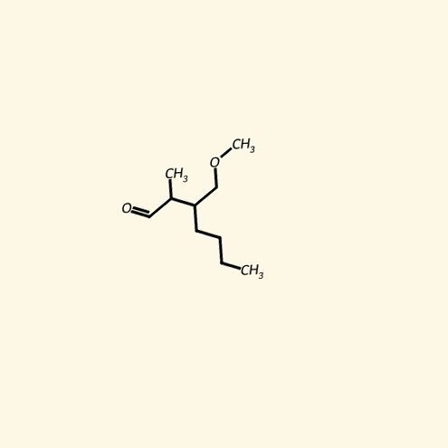 CCCCC(COC)C(C)C=O